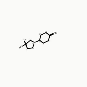 O=C1CCC(N2CCC(F)(F)C2)CC1